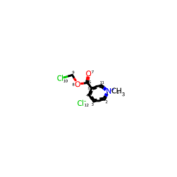 C[n+]1cccc(C(=O)OCCl)c1.[Cl-]